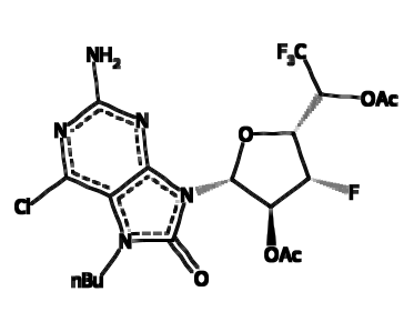 CCCCn1c(=O)n([C@@H]2O[C@H](C(OC(C)=O)C(F)(F)F)[C@H](F)[C@H]2OC(C)=O)c2nc(N)nc(Cl)c21